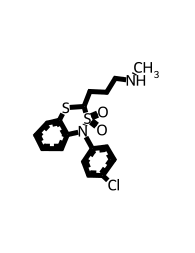 CNCCCC1Sc2ccccc2N(c2ccc(Cl)cc2)S1(=O)=O